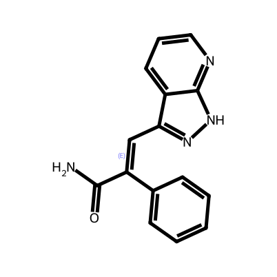 NC(=O)/C(=C/c1n[nH]c2ncccc12)c1ccccc1